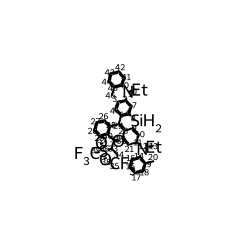 CCN(c1ccc2c(c1)[SiH2]C1=C/C(=[N+](\CC)c3ccccc3C)C=CC1=C2c1ccccc1C(=O)C(CC(F)(F)F)S(=O)(=O)C(F)(F)F)c1ccccc1C